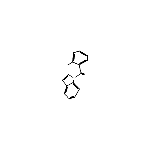 O=C(c1ccccc1Br)n1ccc2ccccc21